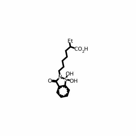 CCC(CCCCCN1C(=O)c2ccccc2S1(O)O)C(=O)O